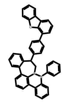 c1ccc(N2B3CC(c4ccc(-c5cccc6c5oc5ccccc56)cc4)c4ccccc4-c4cccc(c43)-c3ccccc32)cc1